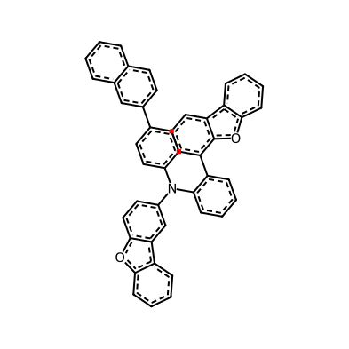 c1ccc(N(c2ccc(-c3ccc4ccccc4c3)cc2)c2ccc3oc4ccccc4c3c2)c(-c2cccc3c2oc2ccccc23)c1